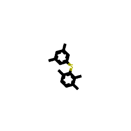 Cc1cc(C)cc(Sc2c(C)ccc(C)c2C)c1